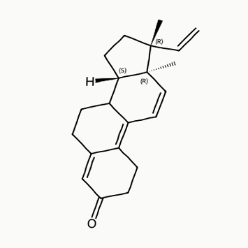 C=C[C@@]1(C)CC[C@H]2C3CCC4=CC(=O)CCC4=C3C=C[C@@]21C